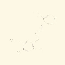 COc1cc([N+](=O)[O-])c(OC)cc1CCNCc1ccccc1[N+](=O)[O-]